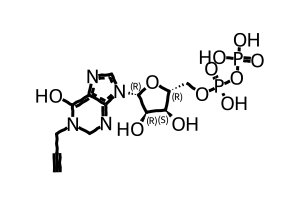 C#CCN1CN=c2c(ncn2[C@@H]2O[C@H](COP(=O)(O)OP(=O)(O)O)[C@@H](O)[C@H]2O)=C1O